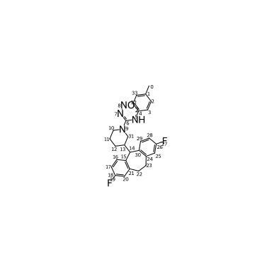 Cc1ccc(NC(=N[N+](=O)[O-])N2CCCC(C3c4ccc(F)cc4CCc4cc(F)ccc43)C2)cc1